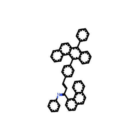 C(=C\c1ccc(-c2c3ccccc3c(-c3ccccc3)c3ccc4ccccc4c23)cc1)/C(=N/c1ccccc1)c1cccc2ccc3ccccc3c12